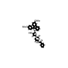 COc1ccc(C(OC[C@H]2O[C@@H](n3cc(I)c(NC(=O)c4ccccc4)nc3=O)[C@H](F)[C@@H]2O)(c2ccccc2)c2ccc(OC)cc2)cc1